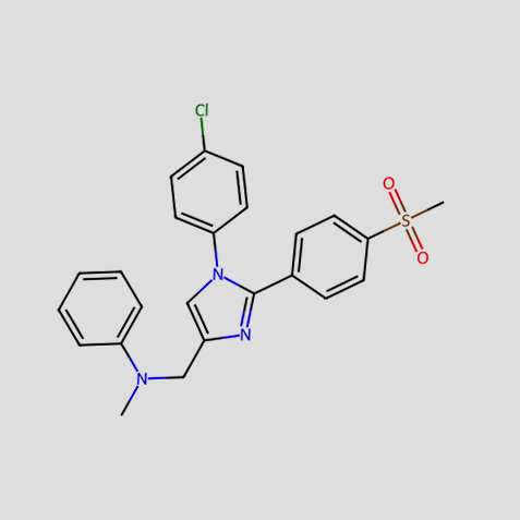 CN(Cc1cn(-c2ccc(Cl)cc2)c(-c2ccc(S(C)(=O)=O)cc2)n1)c1ccccc1